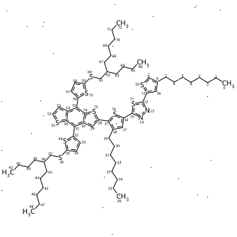 CCCCCCCCc1csc(-c2nnc(-c3cc(CCCCCCCC)c(-c4cc5c(-c6ccc(SCC(CCCC)CCCCCC)s6)c6sccc6c(-c6ccc(SCC(CCCC)CCCCCC)s6)c5s4)s3)s2)c1